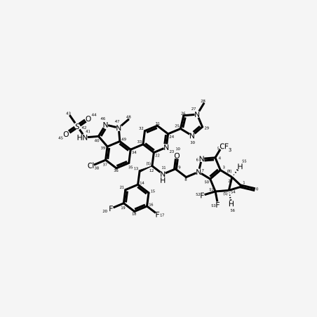 C=C1[C@@H]2c3c(C(F)(F)F)nn(CC(=O)N[C@@H](Cc4cc(F)cc(F)c4)c4nc(-c5cn(C)cn5)ccc4-c4ccc(Cl)c5c(NS(C)(=O)=O)nn(C)c45)c3C(F)(F)[C@H]12